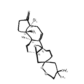 CC1(C)COOC2(CC[C@]34O[C@]3(CC[C@@H]3C4=CC[C@]4(C)C(=O)CC[C@@H]34)C2)C1